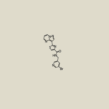 O=C(NCc1cncc(Br)c1)c1csc(-c2cnn3cccnc23)n1